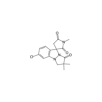 CN1C(=O)CC2(C1=O)c1ccc(Cl)cc1N1CC(C)(C)C(=O)N12